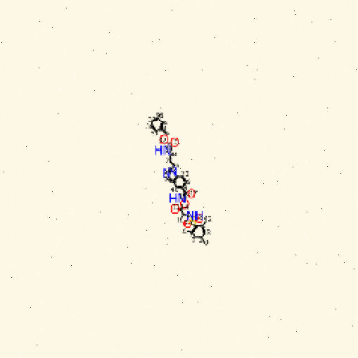 Cc1cc(C)c(S(=O)(=O)N[C@@H](C)C(=O)ONC(=O)c2ccc3c(cnn3CCCNC(=O)OCc3ccccc3)c2)c(C)c1